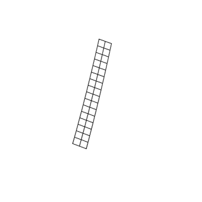 C1C2CC3C4C5C6C7C8C9C%10C%11C%12C%13C%14C%15C%16C%17CC%18CC%19C%20C%21C%22C%23C%24C%25C%26C%27C%28C%29C%30C%31C%32C1C23C%324C%315C%306C%297C%288C%279C%26%10C%25%11C%24%12C%23%13C%22%14C%21%15C%20%16C%18%19%17